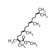 CCOC(=O)/C(C)=C(/C)CC/C=C(\C)CC/C=C(\C)CCC=C(C)C